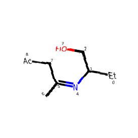 CCC(CO)N=C(C)CC(C)=O